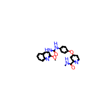 CNC(=O)c1cc(Oc2ccc(NC(=O)Nc3cc4ccccc4nc3OC)cc2)ccn1